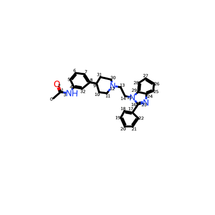 CC(=O)Nc1cccc(C2CCN(CCn3c(-c4ccccc4)nc4ccccc43)CC2)c1